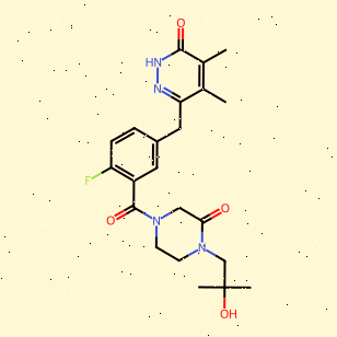 Cc1c(Cc2ccc(F)c(C(=O)N3CCN(CC(C)(C)O)C(=O)C3)c2)n[nH]c(=O)c1C